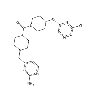 Nc1cc(CN2CCC(C(=O)N3CCC(Oc4cncc(Cl)n4)CC3)CC2)ccn1